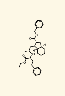 CCOC(=O)[C@H](CCc1ccccc1)N[C@@H](C)CC1[C@H]2CCCC[C@@H]2C[C@H]1C(=O)OCc1ccccc1